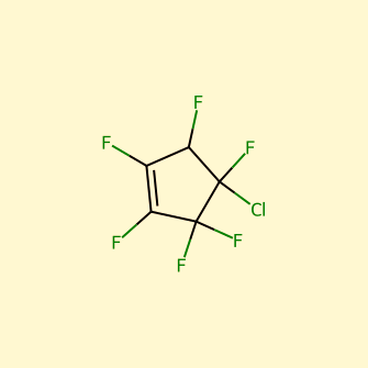 FC1=C(F)C(F)(F)C(F)(Cl)C1F